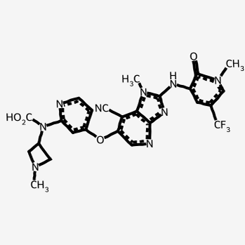 CN1CC(N(C(=O)O)c2cc(Oc3cnc4nc(Nc5cc(C(F)(F)F)cn(C)c5=O)n(C)c4c3C#N)ccn2)C1